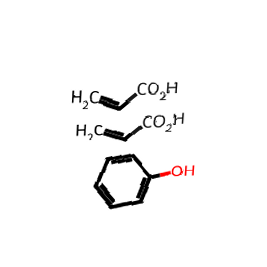 C=CC(=O)O.C=CC(=O)O.Oc1ccccc1